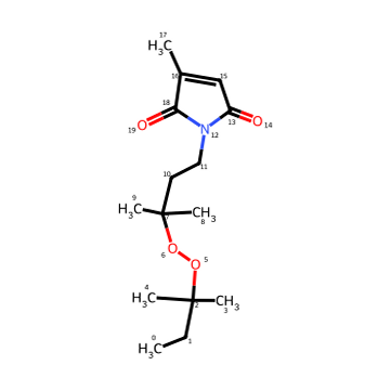 CCC(C)(C)OOC(C)(C)CCN1C(=O)C=C(C)C1=O